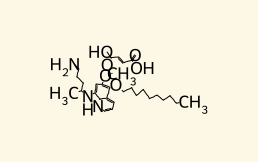 CCCCCCCCCCOc1c(OC)cc(NC(C)CCCN)c2ncccc12.O=C(O)/C=C/C(=O)O